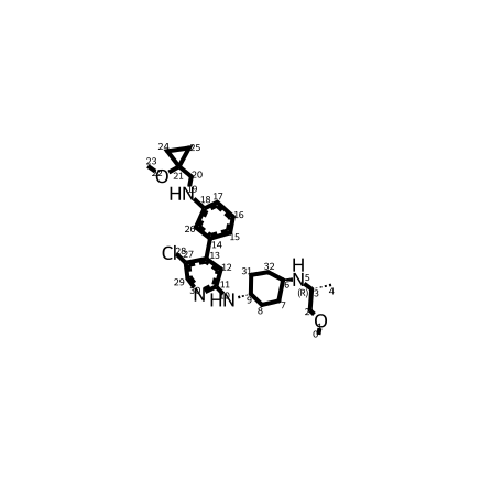 COC[C@@H](C)N[C@H]1CC[C@H](Nc2cc(-c3cccc(NCC4(OC)CC4)c3)c(Cl)cn2)CC1